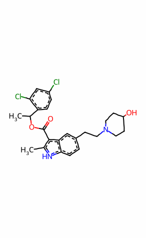 Cc1[nH]c2ccc(CCN3CCC(O)CC3)cc2c1C(=O)OC(C)c1ccc(Cl)cc1Cl